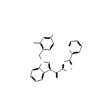 O=C(c1nc(-c2ccccn2)no1)c1cn(Cc2ccc(Cl)cc2Cl)c2ccccc12